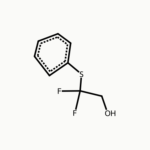 OCC(F)(F)Sc1ccccc1